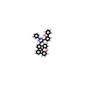 c1ccc(-c2nc(-c3cccc(C4(c5ccccc5)c5ccccc5Oc5ccccc54)c3)cc(-c3cccc4c3oc3ccccc34)n2)cc1